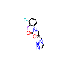 O=C1O[C@@H](Cn2ccnn2)CN1c1cccc(F)c1I